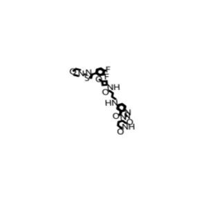 O=C1CCC(n2nnc3ccc(NCCCC(=O)NC4CC(Oc5c(-c6csc(N7CCOCC7)n6)ccc(F)c5F)C4)cc3c2=O)C(=O)N1